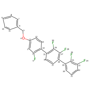 Fc1cc(OCc2ccccc2)ccc1-c1ccc(-c2cccc(F)c2F)c(F)c1F